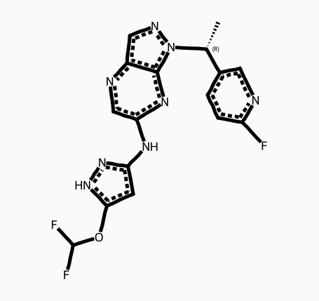 C[C@H](c1ccc(F)nc1)n1ncc2ncc(Nc3cc(OC(F)F)[nH]n3)nc21